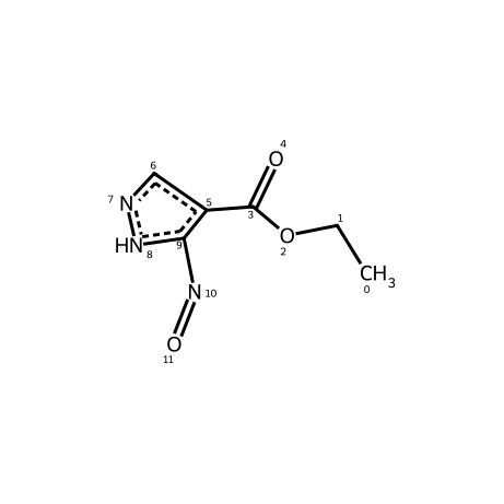 CCOC(=O)c1cn[nH]c1N=O